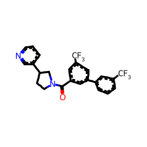 O=C(c1cc(-c2cccc(C(F)(F)F)c2)cc(C(F)(F)F)c1)N1CCC(c2cccnc2)C1